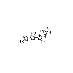 Cn1cc(-c2ccc(-c3cc4c(nn3)N([C@@H]3C[C@H]5COC[C@@H](C3)N5)CCCO4)c(O)c2)cn1